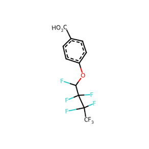 O=C(O)c1ccc(OC(F)C(F)(F)C(F)(F)C(F)(F)F)cc1